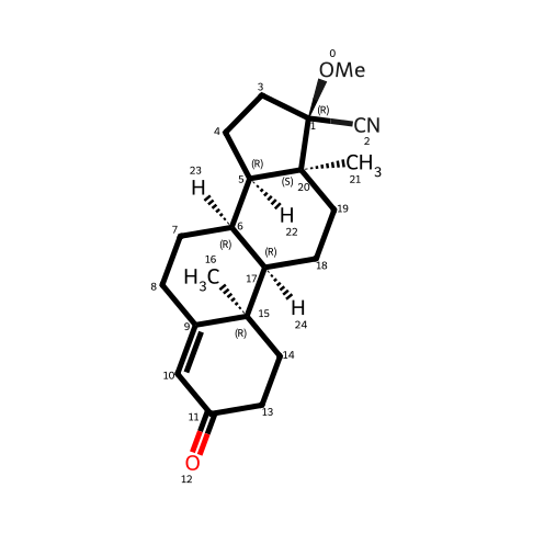 CO[C@]1(C#N)CC[C@@H]2[C@@H]3CCC4=CC(=O)CC[C@]4(C)[C@@H]3CC[C@@]21C